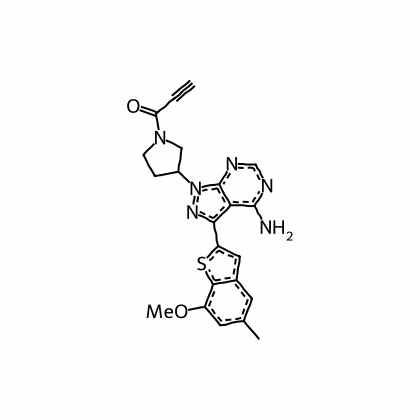 C#CC(=O)N1CCC(n2nc(-c3cc4cc(C)cc(OC)c4s3)c3c(N)ncnc32)C1